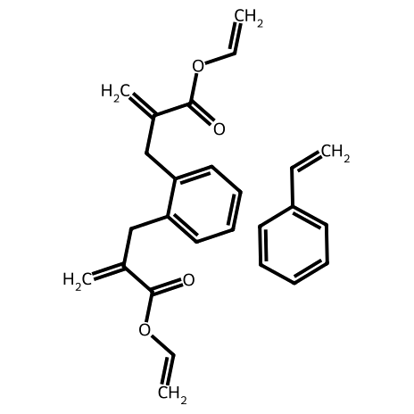 C=COC(=O)C(=C)Cc1ccccc1CC(=C)C(=O)OC=C.C=Cc1ccccc1